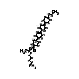 CCCCCCC(C)OC(=O)C1=CCC(c2ccc(-c3ccc(C4CCC(CCC)CC4)cc3)cc2)CC1